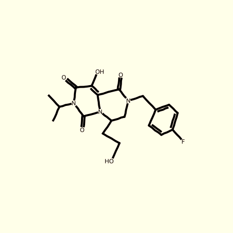 CC(C)n1c(=O)c(O)c2n(c1=O)C(CCO)CN(Cc1ccc(F)cc1)C2=O